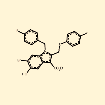 CCOC(=O)c1c(CSc2ccc(F)cc2)n(Cc2ccc(F)cc2)c2cc(Br)c(O)cc12